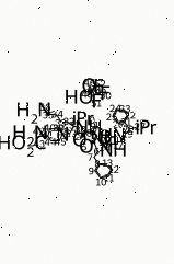 CC(C)CC(NC(=O)C(Cc1ccccc1)NC(=O)CNCC(c1ccccc1)C(C)C)C(=O)NC(CCCCN)CN1CCC(N)(C(=O)O)CC1.O=C(O)C(F)(F)F